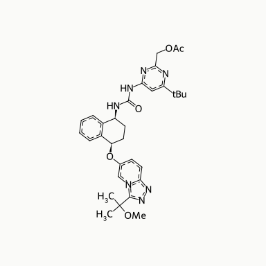 COC(C)(C)c1nnc2ccc(O[C@@H]3CC[C@H](NC(=O)Nc4cc(C(C)(C)C)nc(COC(C)=O)n4)c4ccccc43)cn12